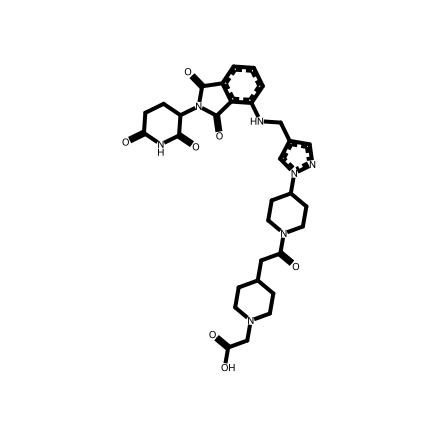 O=C(O)CN1CCC(CC(=O)N2CCC(n3cc(CNc4cccc5c4C(=O)N(C4CCC(=O)NC4=O)C5=O)cn3)CC2)CC1